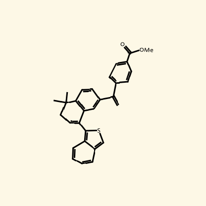 C=C(c1ccc(C(=O)OC)cc1)c1ccc2c(c1)C(c1scc3ccccc13)=CCC2(C)C